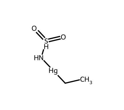 C[CH2][Hg][NH][SH](=O)=O